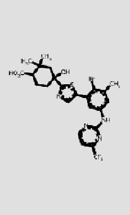 Cc1cc(Nc2nccc(C(F)(F)F)n2)cc(-c2cnc(C3(O)CCC(C(=O)O)C(C)(C)C3)s2)c1Br